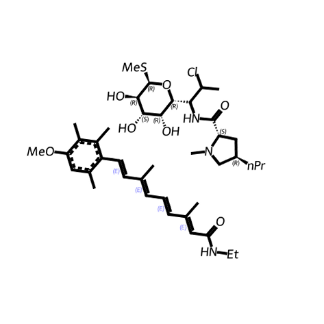 CCC[C@@H]1C[C@@H](C(=O)NC(C(C)Cl)[C@H]2O[C@H](SC)[C@H](O)[C@@H](O)[C@H]2O)N(C)C1.CCNC(=O)/C=C(C)/C=C/C=C(C)/C=C/c1c(C)cc(OC)c(C)c1C